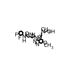 COc1cc(OCCN(C)CCO)c2c(Nc3cc(CC(=O)Nc4cccc(F)c4F)[nH]n3)ncnc2c1